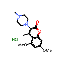 COc1cc(OC)c2c(C)c(N3CCN(C)CC3)c(=O)oc2c1.Cl